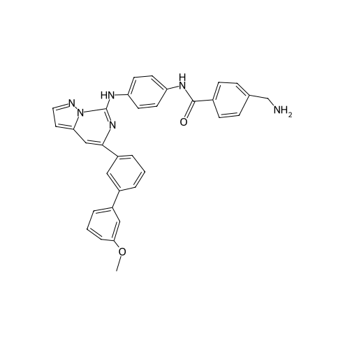 COc1cccc(-c2cccc(-c3cc4ccnn4c(Nc4ccc(NC(=O)c5ccc(CN)cc5)cc4)n3)c2)c1